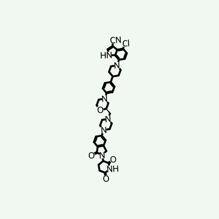 N#Cc1c[nH]c2c(N3CCC(c4ccc(N5CCO[C@H](CN6CCN(c7ccc8c(c7)CN(C7CCC(=O)NC7=O)C8=O)CC6)C5)cc4)CC3)ccc(Cl)c12